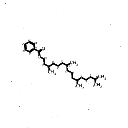 CC(C)CCCC(C)CCCC(C)CCCC(C)CCOC(=O)c1ccccc1